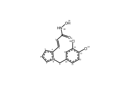 O=C(/C=C/c1cccn1Cc1ccc(Cl)c(Cl)c1)NO